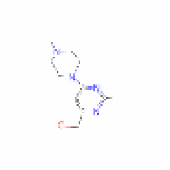 Cc1nc(C=O)cc(N2CCN(C)CC2)n1